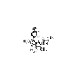 Cc1c(NC(=O)CC(C)(C)C)cc2c(c1C)O[C@H](C)[C@@H]2c1ccc(C(C)C)cc1